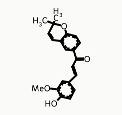 COc1cc(/C=C/C(=O)c2ccc3c(c2)C=CC(C)(C)O3)ccc1O